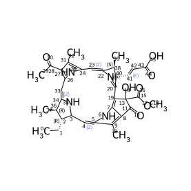 CC[C@H]1C2/C=c3\[nH]c4c(c3C)C(=O)C(O)(C(=O)OC)C=4C3=N/C(=C\c4[nH]c(c(C(C)=O)c4C)/C=C(\N2)[C@@H]1C)[C@@H](C)[C@@H]3/C=C/C(=O)O